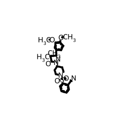 COc1ccc(C2=NN(C3CCN(S(=O)(=O)c4ccccc4C#N)CC3)C(=O)C2(C)C)cc1OC